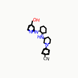 N#Cc1ccc(N2CCC[C@H](N[C@@H]3CCCC[C@H]3Nc3cc(CO)ccn3)C2)cc1